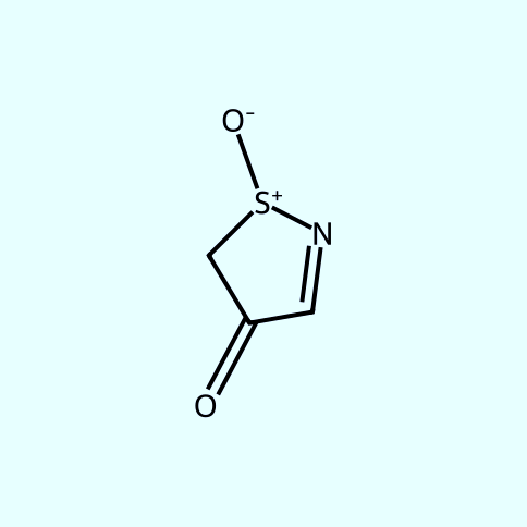 O=C1C=N[S+]([O-])C1